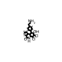 NCCc1ccc(-c2c(O)c(Cl)c(Cl)c3[nH]c(=O)c4sccc4c23)cc1